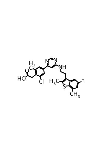 Cc1cc(-c2cc(NCCc3c(C)sc4c(C)cc(F)cc34)ncn2)cc(Cl)c1CC(=O)O